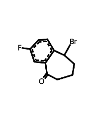 O=C1CCCC(Br)c2ccc(F)cc21